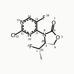 C[C@H](F)[C@H]1COC(=O)N1c1nc(Cl)ncc1F